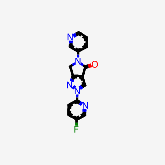 O=C1c2cn(-c3ccc(F)cn3)nc2CN1c1cccnc1